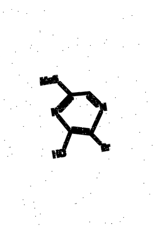 CSc1cnc(Br)c(O)n1